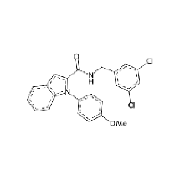 COc1ccc(-n2c(C(=O)NCc3cc(Cl)cc(Cl)c3)cc3ccccc32)cc1